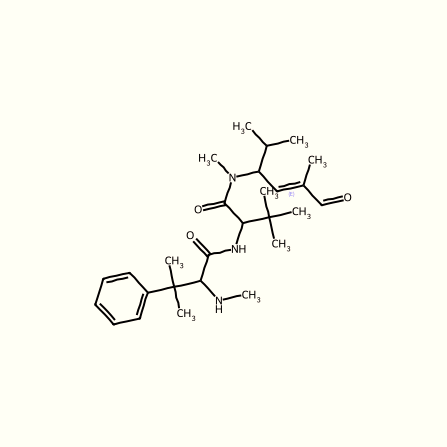 CNC(C(=O)NC(C(=O)N(C)C(/C=C(\C)C=O)C(C)C)C(C)(C)C)C(C)(C)c1ccccc1